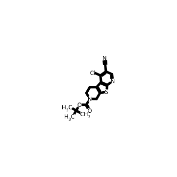 CC(C)(C)OC(=O)N1CCc2c(sc3ncc(C#N)c(Cl)c23)C1